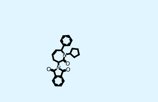 O=C1c2ccccc2C(=O)N1C1CC=CC(c2ccccc2)N(C2CCCC2)C1=O